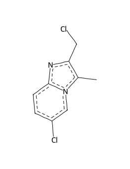 Cc1c(CCl)nc2ccc(Cl)cn12